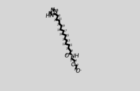 [O]CCOCCNC(=O)CCCCCCCCCCCCCCCc1nnn[nH]1